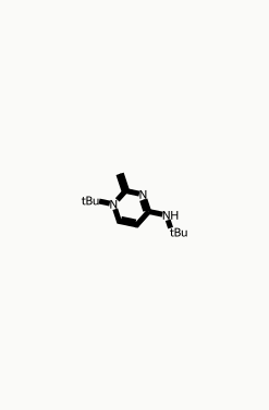 C=C1N=C(NC(C)(C)C)C=CN1C(C)(C)C